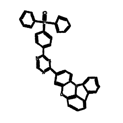 O=P(c1ccccc1)(c1ccccc1)c1ccc(-c2ncnc(-c3ccc4c(c3)Oc3cccc5c6ccccc6n-4c35)n2)cc1